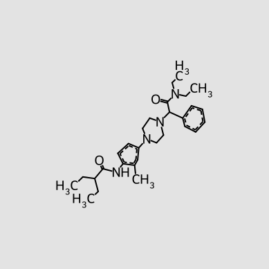 CCC(CC)C(=O)Nc1ccc(N2CCN(C(C(=O)N(CC)CC)c3ccccc3)CC2)cc1C